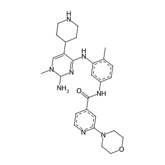 Cc1ccc(NC(=O)c2ccnc(N3CCOCC3)c2)cc1NC1=NC(N)N(C)C=C1C1CCNCC1